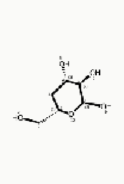 OC[C@@H]1C[C@H](O)[C@@H](O)[C@@H](O)O1